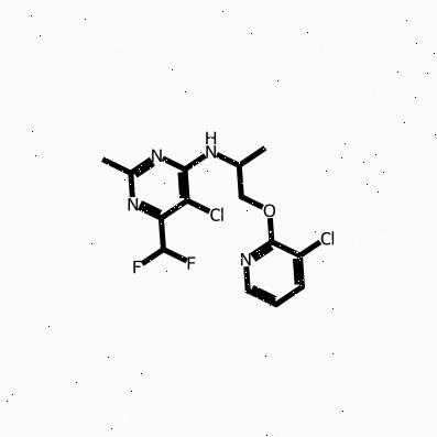 Cc1nc(NC(C)COc2ncccc2Cl)c(Cl)c(C(F)F)n1